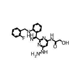 N=C(c1nc(NN)cc(NC(=O)CO)n1)c1ccccc1NCc1ccccc1F